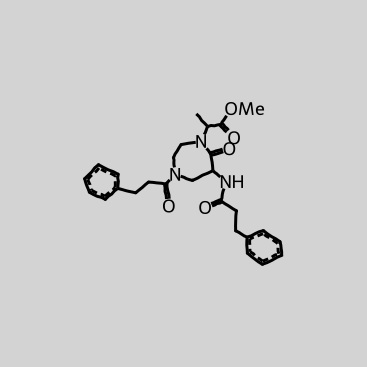 COC(=O)C(C)N1CCN(C(=O)CCc2ccccc2)CC(NC(=O)CCc2ccccc2)C1=O